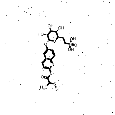 CC(SS)C(=O)Nc1ccc2cc(O[C@H]3O[C@H](CCP(=O)(O)O)[C@@H](O)[C@H](O)[C@@H]3O)ccc2n1